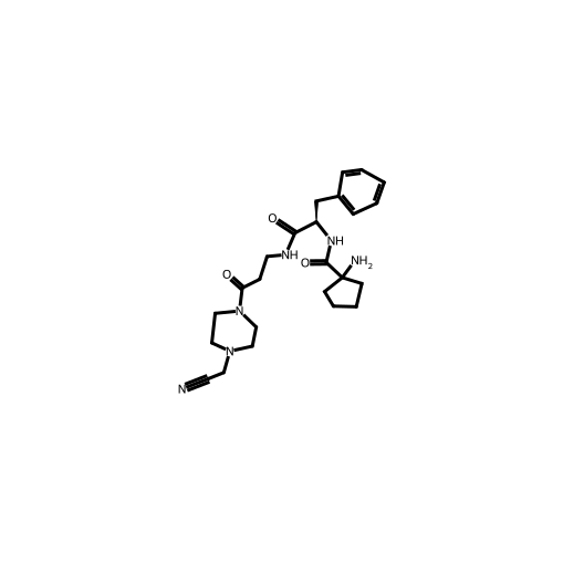 N#CCN1CCN(C(=O)CCNC(=O)[C@@H](Cc2ccccc2)NC(=O)C2(N)CCCC2)CC1